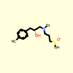 CCC[S+]([O-])CCCN(CC)C[C@H](O)Cc1ccc(C#N)cc1